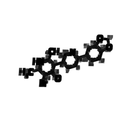 Cc1[nH]c(C)c(-c2ccc(-c3ccc4c(c3)OCO4)nc2)c(=O)c1Br